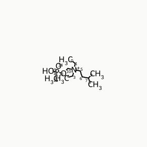 CC[N+](CC)(CCC(C)C)COP(C)(=O)O